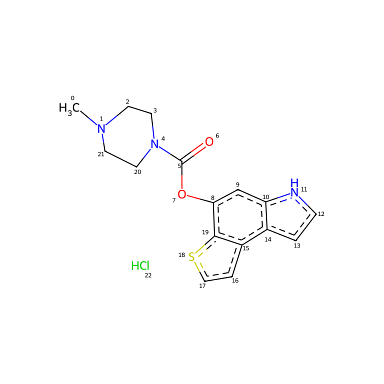 CN1CCN(C(=O)Oc2cc3[nH]ccc3c3ccsc23)CC1.Cl